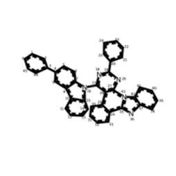 c1ccc(-c2ccc3c(c2)c2ccccc2n3-c2nc(-c3ccccc3)nc3c2c2ccccc2c2nc4ccccc4n23)cc1